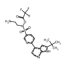 CC(C)(C)c1cc2c(-c3ccc(S(=O)(=O)N(CCN)OC(=O)C(F)(F)F)cn3)ccnc2[nH]1